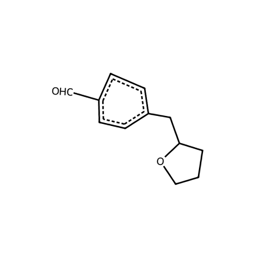 O=Cc1ccc(CC2CCCO2)cc1